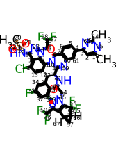 Cc1cc(-c2ccc3c(=O)n(-c4ccc(Cl)c5c(NS(C)(=O)=O)nn(CC(F)F)c45)c([C@H](Cc4cc(F)cc(F)c4)NC(=O)Cn4nc(C(F)F)c5c4C(F)(F)[C@@H]4C[C@H]54)nc3c2)nc(C)n1